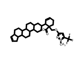 Cn1nc(OCC2(C(=O)O)CCC=CC2C2CCC3C(CCC4C3CCC3C5CC=CC5CCC34)C2)cc1C(F)(F)F